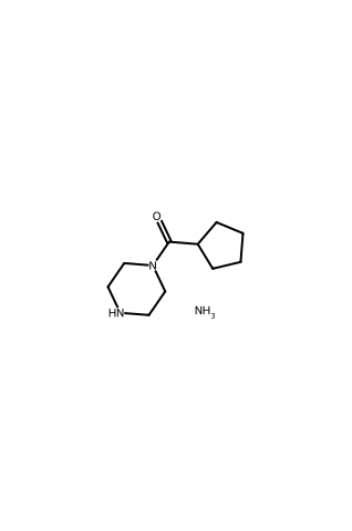 N.O=C(C1CCCC1)N1CCNCC1